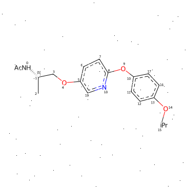 CC(=O)N[C@@H](C)COc1ccc(Oc2ccc(OC(C)C)cc2)nc1